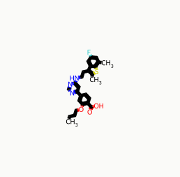 CCCCOc1cc(-c2cc(NCCc3c(C)sc4c(C)cc(F)cc34)ncn2)ccc1C(=O)O